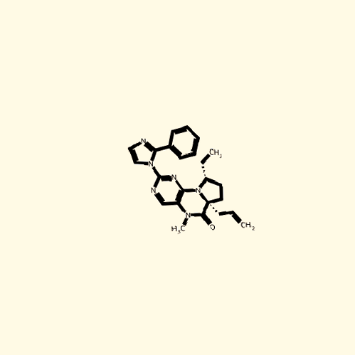 C=CC[C@@]12CC[C@@H](CC)N1c1nc(-n3ccnc3-c3ccccc3)ncc1N(C)C2=O